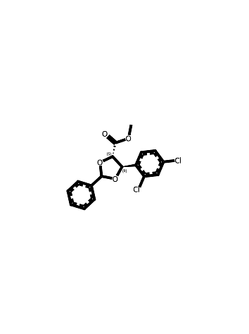 COC(=O)[C@H]1OC(c2ccccc2)O[C@@H]1c1ccc(Cl)cc1Cl